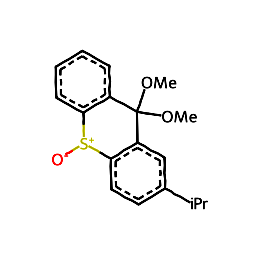 COC1(OC)c2ccccc2[S+]([O-])c2ccc(C(C)C)cc21